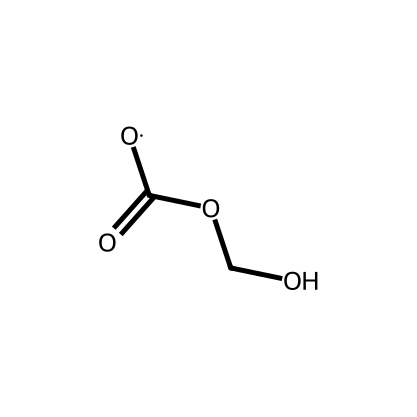 [O]C(=O)OCO